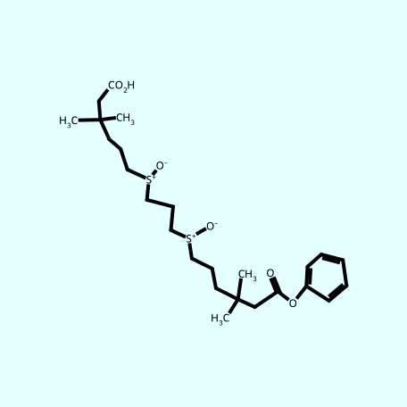 CC(C)(CCC[S+]([O-])CCC[S+]([O-])CCCC(C)(C)CC(=O)Oc1ccccc1)CC(=O)O